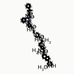 CC[C@@H]1CN(c2ccc3c(c2)CC[C@H](NC(=O)c2sc4nc([C@@H](C)NC(=O)C5CCN(CCNC(=O)c6cnc(N/N=C7/C(=O)N(c8nc(-c9ccccc9)cs8)N=C7c7ccccc7)s6)CC5)ccc4c2N)C3)CCN1